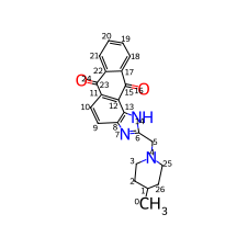 CC1CCN(Cc2nc3ccc4c(c3[nH]2)C(=O)c2ccccc2C4=O)CC1